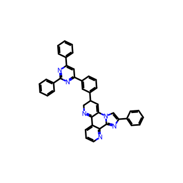 C1=c2c(c3cccnc3c3nc(-c4ccccc4)cn23)=NCC1c1cccc(-c2cc(-c3ccccc3)nc(-c3ccccc3)n2)c1